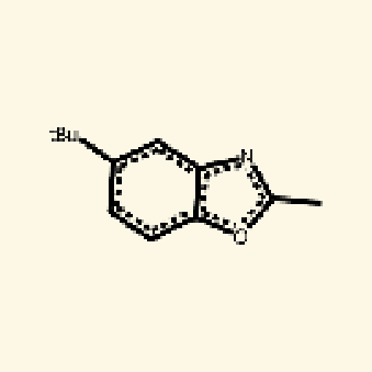 Cc1nc2cc(C(C)(C)C)ccc2o1